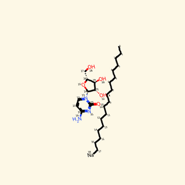 CCCCCCCCCCCCCCCCC[CH2][Na].Nc1ccn([C@@H]2O[C@H](CO)[C@@H](O)[C@@H]2O)c(=O)n1